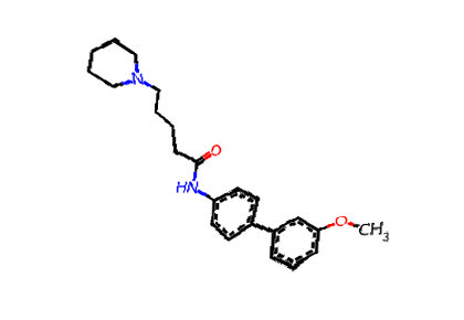 COc1cccc(-c2ccc(NC(=O)CCCCN3CCCCC3)cc2)c1